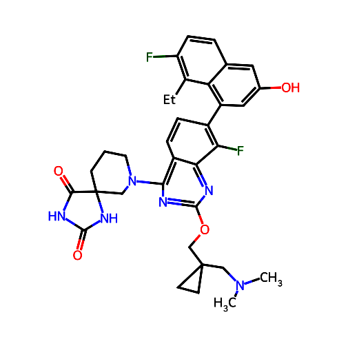 CCc1c(F)ccc2cc(O)cc(-c3ccc4c(N5CCCC6(C5)NC(=O)NC6=O)nc(OCC5(CN(C)C)CC5)nc4c3F)c12